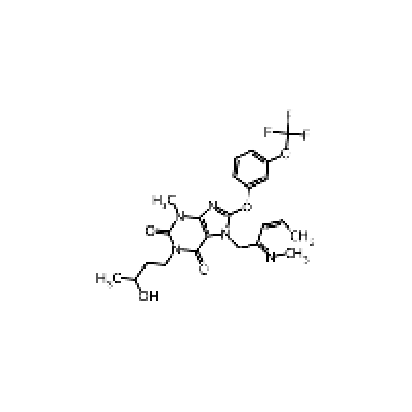 C/C=C\C(Cn1c(Oc2cccc(OC(F)(F)F)c2)nc2c1c(=O)n(CCC(C)O)c(=O)n2C)=N/C